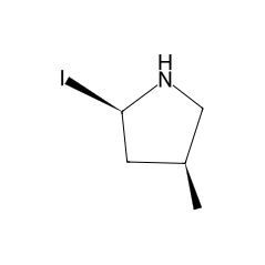 C[C@@H]1CN[C@H](I)C1